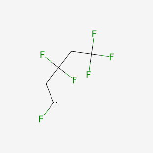 F[CH]CC(F)(F)CC(F)(F)F